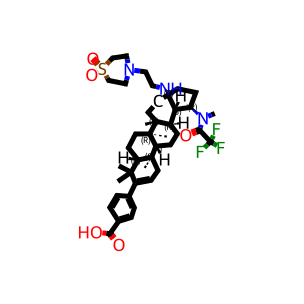 CN(C(=O)C(F)(F)F)[C@@H]1CC[C@]2(NCCN3CCS(=O)(=O)CC3)CC[C@]3(C)[C@H](CC[C@@H]4[C@@]5(C)CC=C(c6ccc(C(=O)O)cc6)C(C)(C)[C@@H]5CC[C@]43C)[C@@H]12